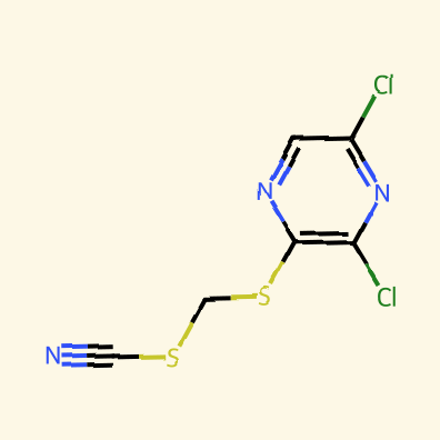 N#CSCSc1ncc(Cl)nc1Cl